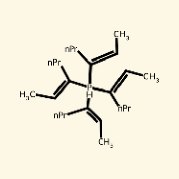 CC=C(CCC)[PH](C(=CC)CCC)(C(=CC)CCC)C(=CC)CCC